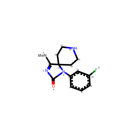 CNC1=NC(=O)N(c2cccc(F)c2)C12CCNCC2